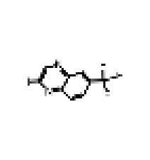 FC(F)(F)c1ccc2nc(I)cnc2c1